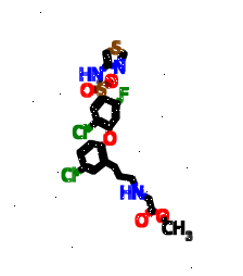 COC(=O)CNCCCc1cc(Cl)ccc1Oc1cc(F)c(S(=O)(=O)Nc2cscn2)cc1Cl